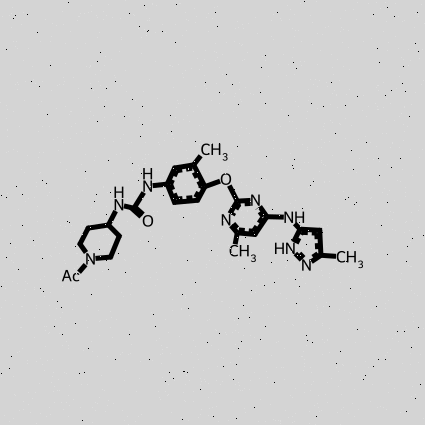 CC(=O)N1CCC(NC(=O)Nc2ccc(Oc3nc(C)cc(Nc4cc(C)n[nH]4)n3)c(C)c2)CC1